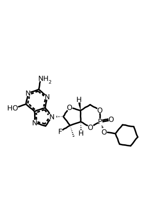 C[C@@]1(F)[C@@H]2O[P@@](=O)(OC3CCCCC3)OC[C@H]2O[C@H]1n1cnc2c(O)nc(N)nc21